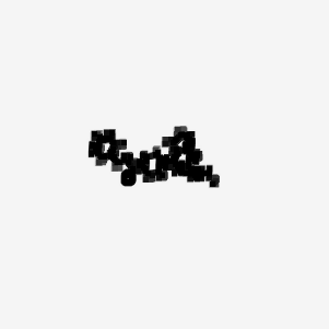 Nc1nc(N2CCN(C(=O)CCc3cccnc3)CC2)c2ccsc2n1